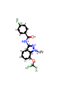 CCCn1nc(NC(=O)c2ccc(F)cc2)c2cccc(OC(F)F)c21